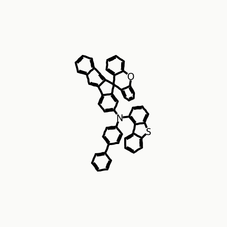 c1ccc(-c2ccc(N(c3ccc4c(c3)C3(c5ccccc5Oc5ccccc53)c3cc5ccccc5cc3-4)c3cccc4sc5ccccc5c34)cc2)cc1